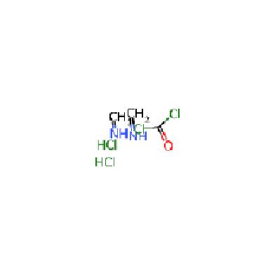 C=N.C=N.Cl.Cl.O=C(Cl)Cl